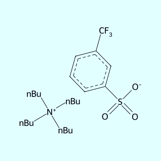 CCCC[N+](CCCC)(CCCC)CCCC.O=S(=O)([O-])c1cccc(C(F)(F)F)c1